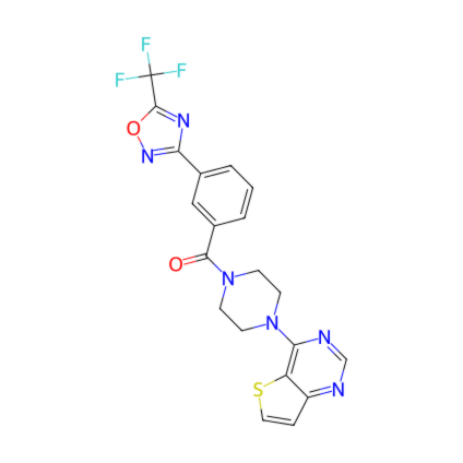 O=C(c1cccc(-c2noc(C(F)(F)F)n2)c1)N1CCN(c2ncnc3ccsc23)CC1